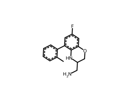 Cc1ccccc1-c1cc(F)cc2c1NC(CN)CO2